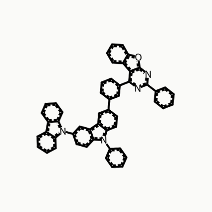 c1ccc(-c2nc(-c3cccc(-c4ccc5c(c4)c4cc(-n6c7ccccc7c7ccccc76)ccc4n5-c4ccccc4)c3)c3c(n2)oc2ccccc23)cc1